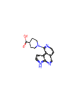 O=C(O)C1CCN(c2nccc3cnc4[nH]ccc4c23)CC1